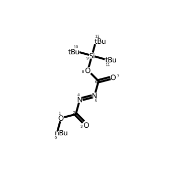 CCCCOC(=O)N=NC(=O)O[Si](C(C)(C)C)(C(C)(C)C)C(C)(C)C